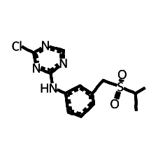 CC(C)S(=O)(=O)Cc1cccc(Nc2ncnc(Cl)n2)c1